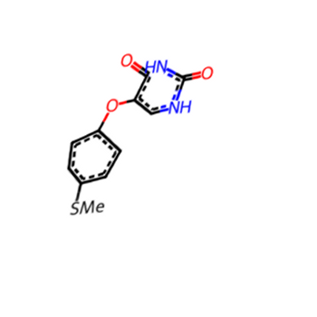 CSc1ccc(Oc2c[nH]c(=O)[nH]c2=O)cc1